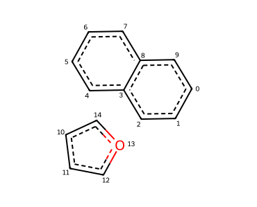 c1ccc2ccccc2c1.c1ccoc1